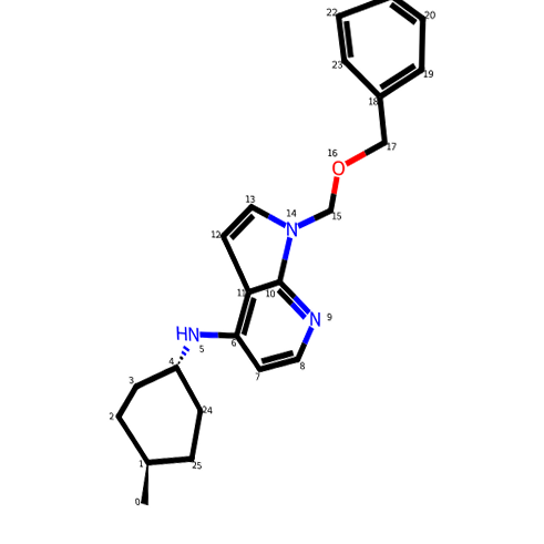 C[C@H]1CC[C@H](Nc2ccnc3c2ccn3COCc2ccccc2)CC1